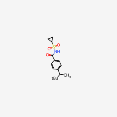 CC(c1ccc(C(=O)NS(=O)(=O)C2CC2)cc1)C(C)(C)C